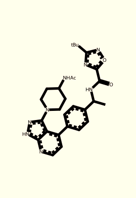 CC(=O)NC1CCN(c2n[nH]c3nccc(-c4ccc(C(C)NC(=O)c5nc(C(C)(C)C)no5)cc4)c23)CC1